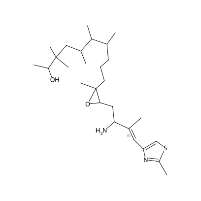 C/C(=C\c1csc(C)n1)C(N)CC1OC1(C)CCCC(C)C(C)C(C)CC(C)(C)C(C)O